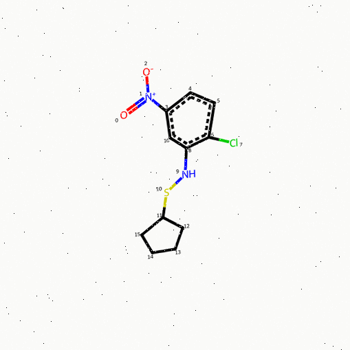 O=[N+]([O-])c1ccc(Cl)c(NSC2CCCC2)c1